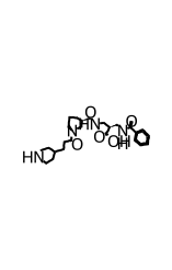 O=C(NC[C@H](CNC(=O)[C@@H]1CCCN(C(=O)CCC2CCNCC2)C1)C(=O)O)c1ccccc1